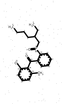 CCCCC(CC)C[PH](=O)c1ccccc1C(=O)c1c(C)cccc1Cl